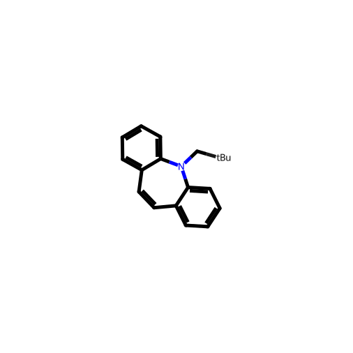 CC(C)(C)CN1c2ccccc2C=Cc2ccccc21